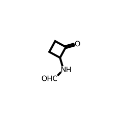 O=CNC1CCC1=O